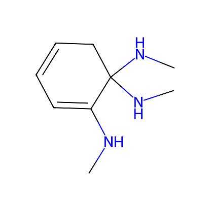 CNC1=CC=CCC1(NC)NC